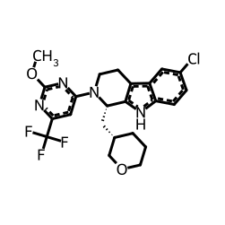 COc1nc(N2CCc3c([nH]c4ccc(Cl)cc34)[C@@H]2C[C@@H]2CCCOC2)cc(C(F)(F)F)n1